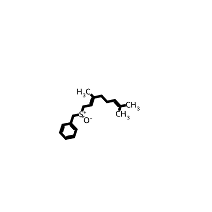 CC(C)=CCC/C(C)=C/C[S+]([O-])Cc1ccccc1